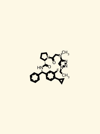 CCn1cc(N(C)CC(=O)N2CCC[C@H]2C(=O)N[C@@H](c2ccccc2)c2ccc(C3CC3)c(F)c2)nn1